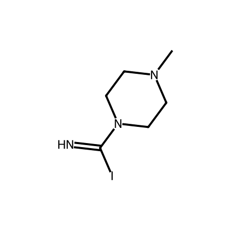 CN1CCN(C(=N)I)CC1